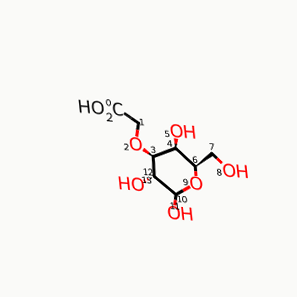 O=C(O)CO[C@H]1[C@@H](O)[C@@H](CO)OC(O)[C@@H]1O